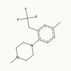 Cc1ccc(N2CCN(C)CC2)c(CC(F)(F)F)c1